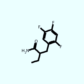 CCC(Cc1cc(F)c(F)cc1F)C(N)=O